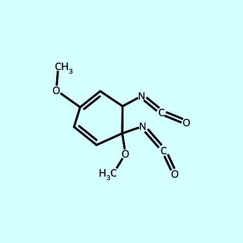 COC1=CC(N=C=O)C(N=C=O)(OC)C=C1